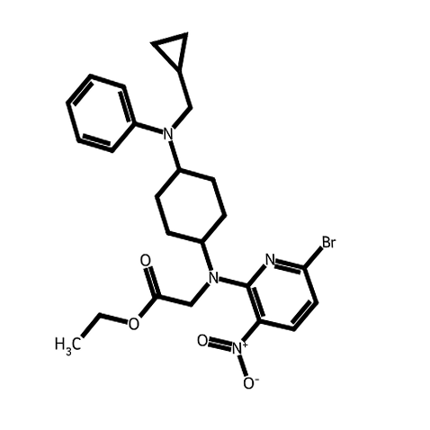 CCOC(=O)CN(c1nc(Br)ccc1[N+](=O)[O-])C1CCC(N(CC2CC2)c2ccccc2)CC1